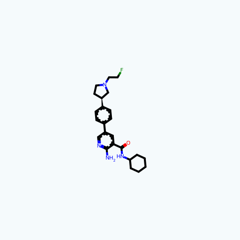 Nc1ncc(-c2ccc([C@H]3CCN(CCF)C3)cc2)cc1C(=O)NC1CCCCC1